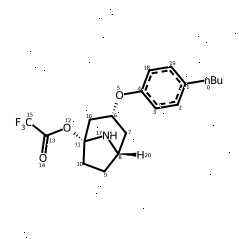 CCCCc1ccc(O[C@@H]2C[C@@H]3CC[C@@](OC(=O)C(F)(F)F)(C2)N3)cc1